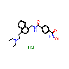 CCN(CC)CCc1ccc(CNC(=O)c2ccc(C(=O)NO)cc2)c2ccccc12.Cl